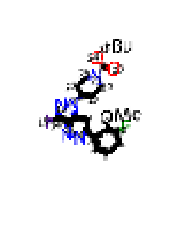 COc1c(F)cccc1-c1cc2c(nn1)c(I)nn2C1CCN(C(=O)OC(C)(C)C)CC1